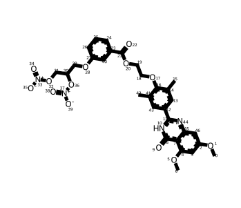 COc1cc(OC)c2c(=O)[nH]c(-c3cc(C)c(OCCOC(=O)c4cccc(OCC(CO[N+](=O)[O-])O[N+](=O)[O-])c4)c(C)c3)nc2c1